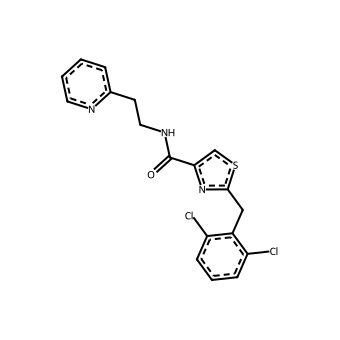 O=C(NCCc1ccccn1)c1csc(Cc2c(Cl)cccc2Cl)n1